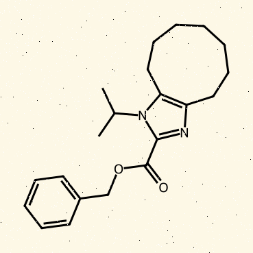 CC(C)n1c(C(=O)OCc2ccccc2)nc2c1CCCCCCC2